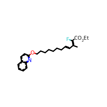 CCOC(=O)C(F)=C(C)C=CCCCCCCCOc1ccc2ccccc2n1